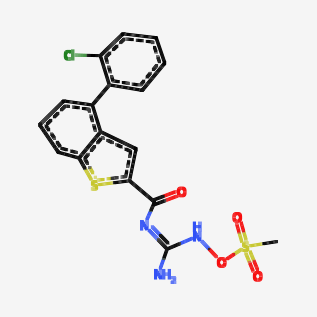 CS(=O)(=O)ONC(N)=NC(=O)c1cc2c(-c3ccccc3Cl)cccc2s1